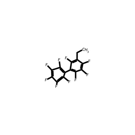 CCc1c(F)c(F)c(F)c(-c2c(F)c(F)c(F)c(F)c2F)c1F